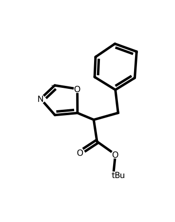 CC(C)(C)OC(=O)C(Cc1ccccc1)c1cn[c]o1